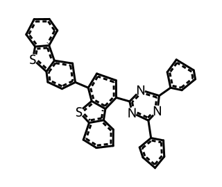 c1ccc(-c2nc(-c3ccccc3)nc(-c3ccc(-c4ccc5sc6ccccc6c5c4)c4sc5ccccc5c34)n2)cc1